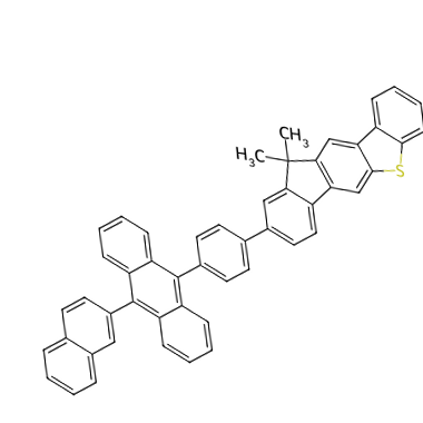 CC1(C)c2cc(-c3ccc(-c4c5ccccc5c(-c5ccc6ccccc6c5)c5ccccc45)cc3)ccc2-c2cc3sc4ccccc4c3cc21